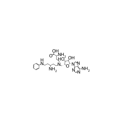 Nc1ncnc2c1ncn2[C@@H]1O[C@H](CN(CCC(N)CCNc2ccccc2)CCC(N)C(=O)O)[C@@H](O)[C@H]1O